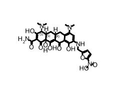 CN(C)c1cc(NCc2ccc([N+](=O)O)o2)c(O)c2c1C[C@H]1C[C@H]3[C@H](N(C)C)C(O)=C(C(N)=O)C(=O)[C@@]3(O)C(O)=C1C2=O